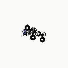 N/N=C\c1cccc(C(=O)NC(C(=O)N2CCC(C(=O)c3ccccc3)CC2)c2ccccc2)c1